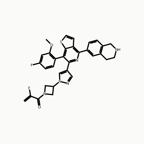 C=C(F)C(=O)N1CC(n2cc(-c3nc(-c4ccc5c(c4)CCNC5)c4ccsc4c3-c3ccc(F)cc3OC)cn2)C1